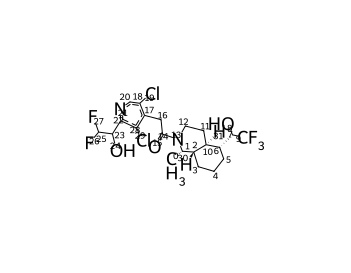 C[C@H]1[C@H]2CCC[C@@H](C(O)C(F)(F)F)[C@@H]2CCN1C(=O)Cc1c(Cl)cnc(C(O)C(F)F)c1Cl